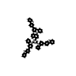 c1ccc2c(c1)sc1cc(-c3ccc4c(c3)c3ccccc3n4-c3nc(-c4ccc(-n5c6ccccc6c6cc(-c7ccc8c(c7)sc7ccccc78)ccc65)c5ccccc45)nc(-n4c5ccccc5c5cc(-c6ccc7c(c6)sc6ccccc67)ccc54)n3)ccc12